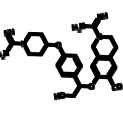 N=C(N)N1CCC(Oc2ccc(C(CO)Oc3cc4c(cc3C(=O)O)CCN(C(=N)N)C4)cc2)CC1